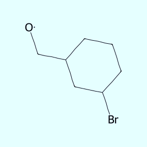 [O]CC1CCCC(Br)C1